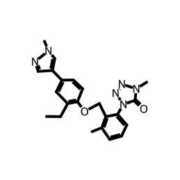 CCc1cc(-c2cnn(C)c2)ccc1OCc1c(C)cccc1-n1nnn(C)c1=O